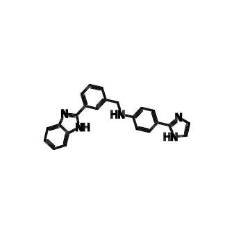 c1cc(CNc2ccc(-c3ncc[nH]3)cc2)cc(-c2nc3ccccc3[nH]2)c1